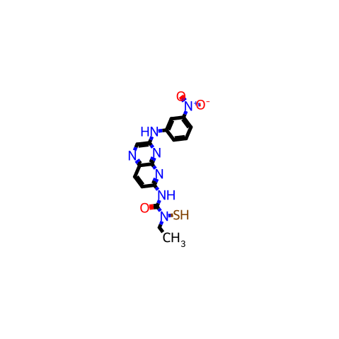 CCN(S)C(=O)Nc1ccc2ncc(Nc3cccc([N+](=O)[O-])c3)nc2n1